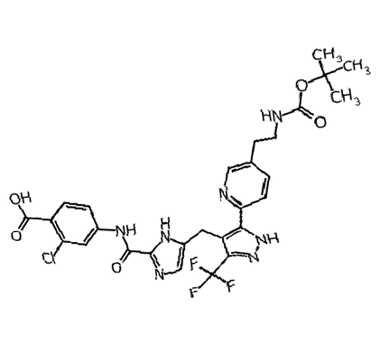 CC(C)(C)OC(=O)NCCc1ccc(-c2[nH]nc(C(F)(F)F)c2Cc2cnc(C(=O)Nc3ccc(C(=O)O)c(Cl)c3)[nH]2)nc1